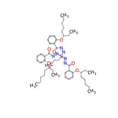 CCCCCC(CC)Oc1ccccc1C(=O)N=N[Si](CCC)(N=NC(=O)c1ccccc1OC(CC)CCCCC)N=NC(=O)c1ccccc1OC(CC)CCCCC